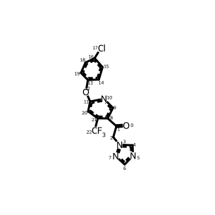 O=C(Cn1cncn1)c1cnc(Oc2ccc(Cl)cc2)cc1C(F)(F)F